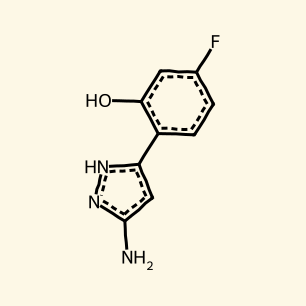 Nc1cc(-c2ccc(F)cc2O)[nH]n1